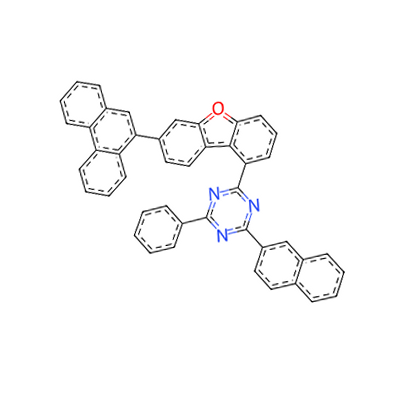 c1ccc(-c2nc(-c3ccc4ccccc4c3)nc(-c3cccc4oc5cc(-c6cc7ccccc7c7ccccc67)ccc5c34)n2)cc1